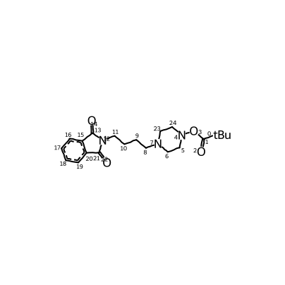 CC(C)(C)C(=O)ON1CCN(CCCCN2C(=O)c3ccccc3C2=O)CC1